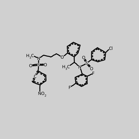 CC(c1ccccc1OCCCN(C)S(=O)(=O)c1ccc([N+](=O)[O-])cc1)N(c1cc(F)ccc1F)S(=O)(=O)c1ccc(Cl)cc1